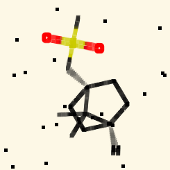 CC1(C)[C@H]2CC[C@]1(CS(C)(=O)=O)CC2